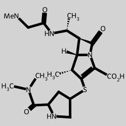 CNCC(=O)N[C@H](C)[C@H]1C(=O)N2C(C(=O)O)=C(SC3CNC(C(=O)N(C)C)C3)[C@H](C)[C@H]12